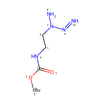 CC(C)(C)OC(=O)NCCN(N)N=N